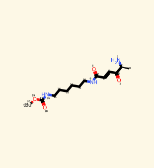 C[C@H](N)C(=O)C=CC(=O)NCCCCCCNC(=O)OC(C)(C)C